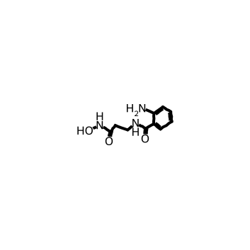 Nc1ccccc1C(=O)NCCC(=O)NO